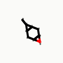 CC1C2CC3OC3CC12